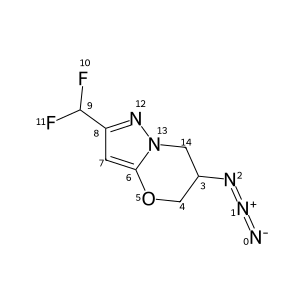 [N-]=[N+]=NC1COc2cc(C(F)F)nn2C1